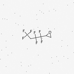 FC(F)(F)CC(F)(F)C(F)(F)C1CO1